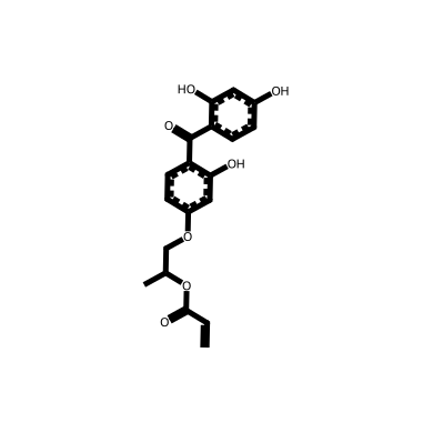 C=CC(=O)OC(C)COc1ccc(C(=O)c2ccc(O)cc2O)c(O)c1